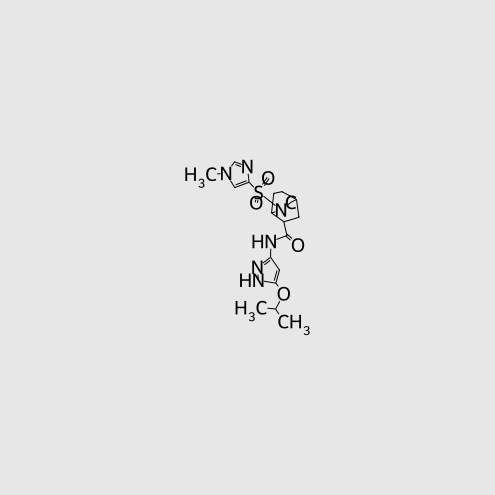 CC(C)Oc1cc(NC(=O)C2CC3CCC2N(S(=O)(=O)c2cn(C)cn2)C3)n[nH]1